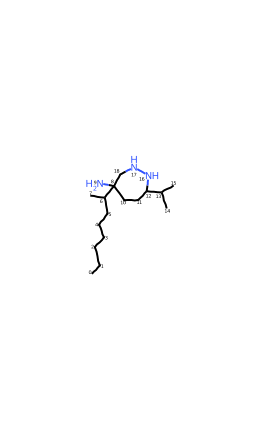 CCCCCCC(C)C1(N)CCC(C(C)C)NNC1